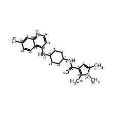 Cc1cc(C(=O)NC2CCC(Nc3ccnc4cc(Cl)ccc34)CC2)c(C)n1C